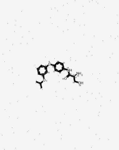 CC(C)Oc1cccc(Oc2ccc(NC(=O)[C@@H](N)CO)cc2)c1